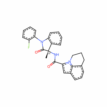 C[C@@]1(NC(=O)c2cc3cccc4c3n2CCC4)C(=O)N(c2ccccc2F)c2ccccc21